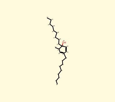 CCCCCCCCCC1=CC(C)C(O)(CCCCCCCCC)C=C1